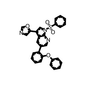 O=S(=O)(c1ccccc1)n1cc(-c2cnco2)c2cc(-c3ccccc3Oc3ccccc3)cnc21